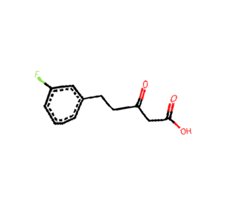 O=C(O)CC(=O)CCc1cccc(F)c1